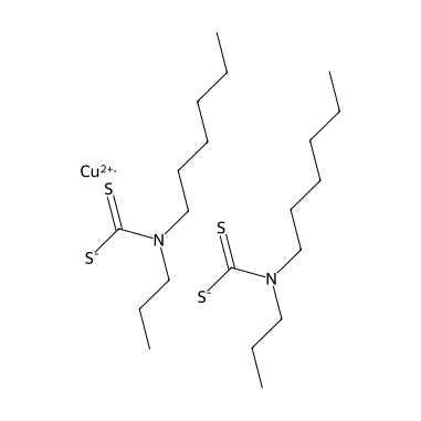 CCCCCCN(CCC)C(=S)[S-].CCCCCCN(CCC)C(=S)[S-].[Cu+2]